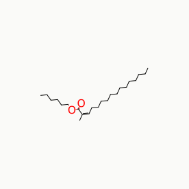 CCCCCCCCCCCCCC=C(C)C(=O)OCCCCCC